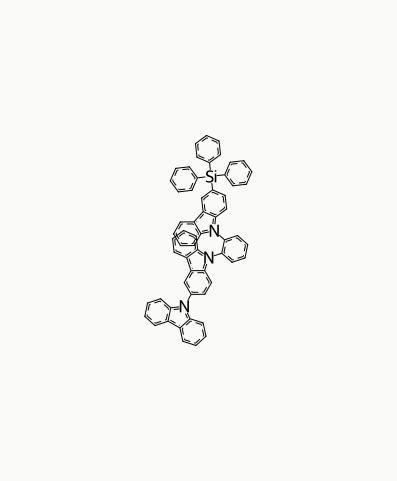 c1ccc([Si](c2ccccc2)(c2ccccc2)c2ccc3c(c2)c2ccccc2n3-c2ccccc2-n2c3ccccc3c3cc(-n4c5ccccc5c5ccccc54)ccc32)cc1